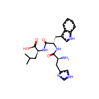 CC(C)C[C@H](NC(=O)[C@H](Cc1c[nH]c2ccccc12)NC(=O)[C@@H](N)Cc1c[nH]cn1)C(=O)O